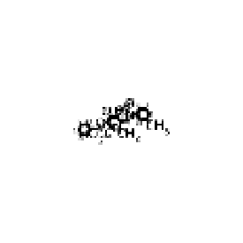 Cc1cccc(N(Cc2cc(=O)c(OCc3ccccc3)c(C(=O)O)n2C)[SH](=O)=O)c1